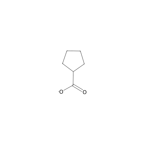 [O]C(=O)C1CCCC1